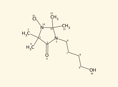 CC1(C)C(=O)N(CCCCO)C(C)(C)N1Cl